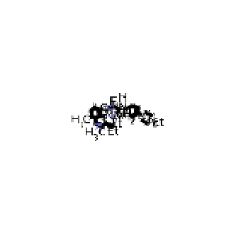 CCC(CC)C/C(C)=C\c1c(C)ccc(OC(/N=C\N)=C(\F)C(C)Nc2ccc(N3CCN(CC)CC3)cn2)c1F